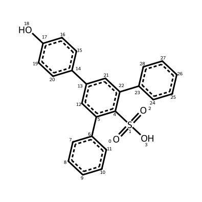 O=S(=O)(O)c1c(-c2ccccc2)cc(-c2ccc(O)cc2)cc1-c1ccccc1